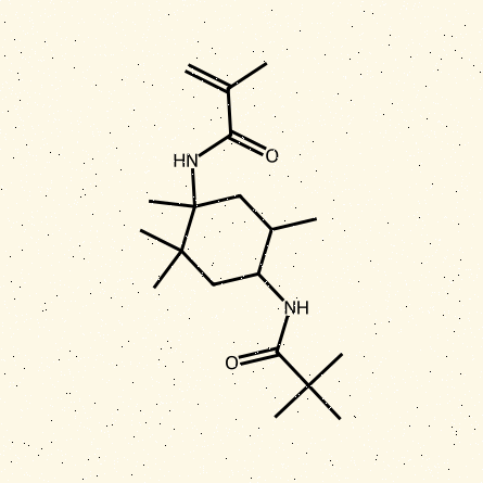 C=C(C)C(=O)NC1(C)CC(C)C(NC(=O)C(C)(C)C)CC1(C)C